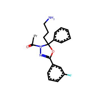 CC(C)C(=O)N1N=C(c2cccc(F)c2)OC1(CCCN)c1ccccc1